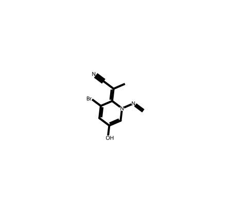 C=NN1C=C(O)C=C(Br)/C1=C(/C)C#N